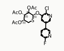 CC(=O)O[C@@H]1[C@@H](OC(C)=O)[C@@H](Oc2cc(-c3ccc(F)nc3)cnc2Cl)SC[C@H]1OC(C)=O